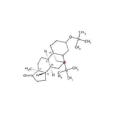 C[C@]12CC[C@@H]3[C@@H](CCC4CC(O[Si](C)(C)C)CC[C@@]43CO[Si](C)(C)C)[C@@H]1CCC2=O